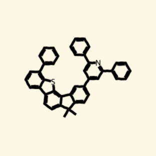 CC1(C)c2ccc(-c3cc(-c4ccccc4)nc(-c4ccccc4)c3)cc2-c2c1ccc1c2sc2c(-c3ccccc3)cccc21